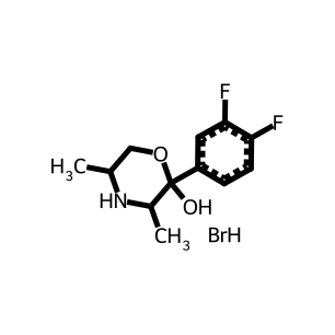 Br.CC1COC(O)(c2ccc(F)c(F)c2)C(C)N1